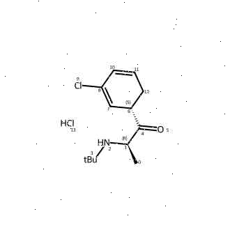 C[C@@H](NC(C)(C)C)C(=O)[C@@H]1C=C(Cl)C=CC1.Cl